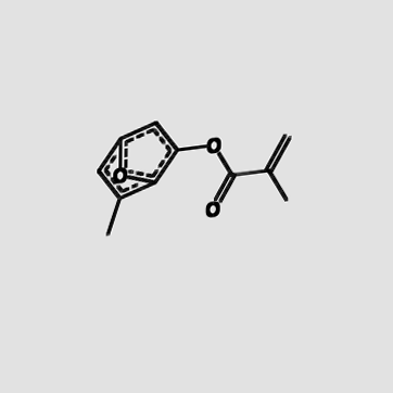 C=C(C)C(=O)Oc1cc2cc(C)c1o2